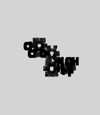 OC(CNC(c1cccc(Oc2cccc(Cl)c2Cl)c1)C1CCCCC1)C(F)(F)F